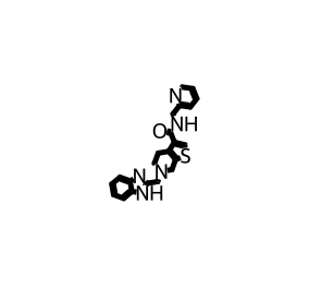 O=C(NCc1ccccn1)c1csc2c1CCN(Cc1nc3ccccc3[nH]1)C2